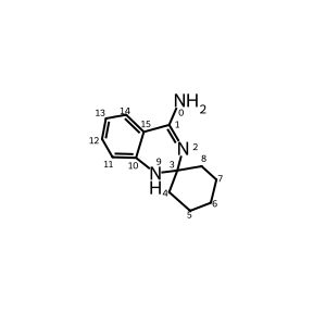 NC1=NC2(CCCCC2)Nc2ccccc21